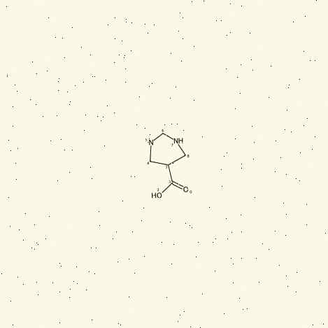 O=C(O)C1C[N]CNC1